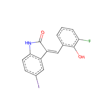 O=C1Nc2ccc(I)cc2C1=Cc1cccc(F)c1O